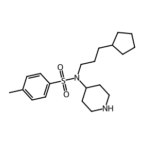 Cc1ccc(S(=O)(=O)N(CCCC2CCCC2)C2CCNCC2)cc1